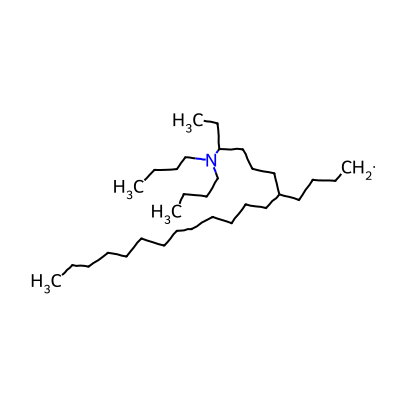 [CH2]CCCC(CCCCCCCCCCCCC)CCCC(CC)N(CCCC)CCCC